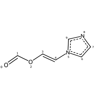 O=COC=Cn1ccnc1